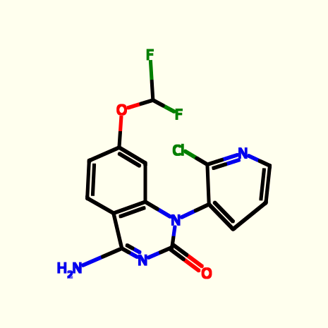 Nc1nc(=O)n(-c2cccnc2Cl)c2cc(OC(F)F)ccc12